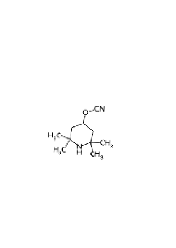 CC1(C)CC(OC#N)CC(C)(C)N1